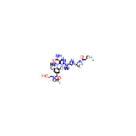 C=CC(=O)N1CCC[C@H](n2cc(Nc3ncc(C(N)=O)c(Nc4c(C)cc(C(=O)N(C)CCO)cc4OC)n3)cn2)C1